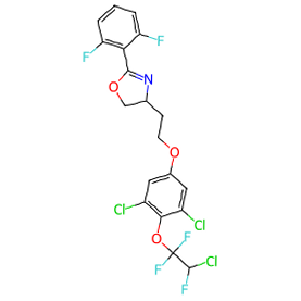 Fc1cccc(F)c1C1=NC(CCOc2cc(Cl)c(OC(F)(F)C(F)Cl)c(Cl)c2)CO1